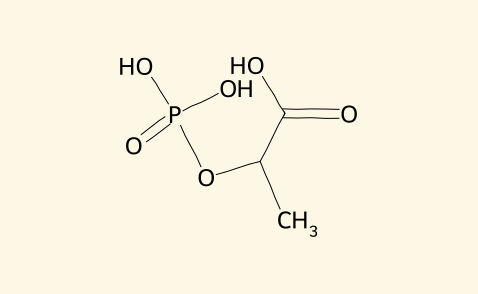 CC(OP(=O)(O)O)C(=O)O